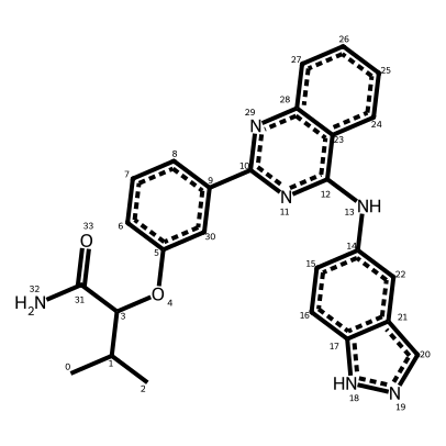 CC(C)C(Oc1cccc(-c2nc(Nc3ccc4[nH]ncc4c3)c3ccccc3n2)c1)C(N)=O